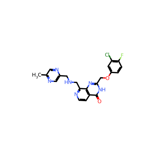 Cc1cnc(CNCc2nccc3c(=O)[nH]c(COc4ccc(F)c(Cl)c4)nc23)cn1